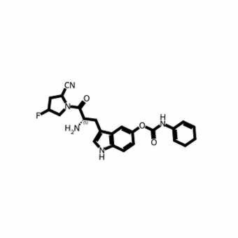 N#CC1CC(F)CN1C(=O)[C@@H](N)Cc1c[nH]c2ccc(OC(=O)NC3=CCCC=C3)cc12